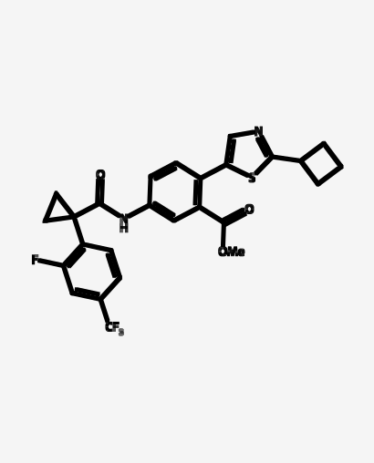 COC(=O)c1cc(NC(=O)C2(c3ccc(C(F)(F)F)cc3F)CC2)ccc1-c1cnc(C2CCC2)s1